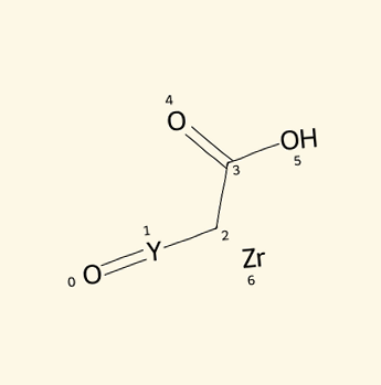 [O]=[Y][CH2]C(=O)O.[Zr]